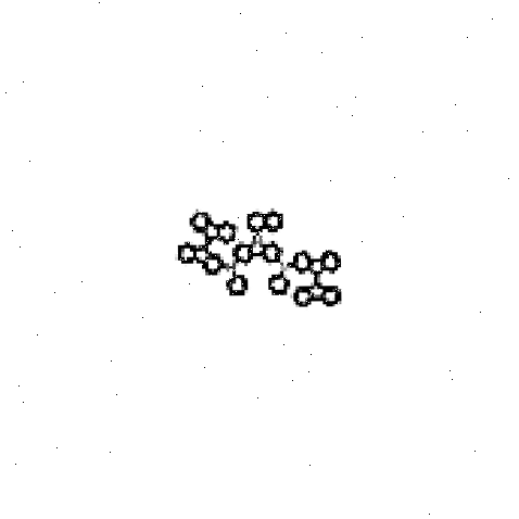 c1ccc(N(c2ccc3c(c2)C(=C2c4ccccc4-c4ccccc42)c2ccccc2-3)c2ccc3c(c2)c2cc(N(c4ccccc4)c4ccc5c(c4)C(=C4c6ccccc6-c6ccccc64)c4ccccc4-5)ccc2n3-c2cccc3ccccc23)cc1